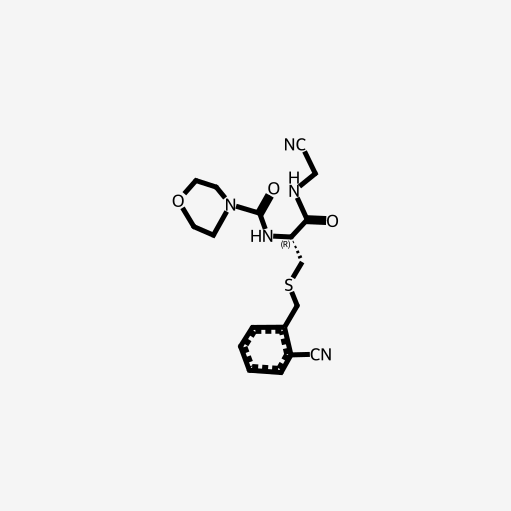 N#CCNC(=O)[C@H](CSCc1ccccc1C#N)NC(=O)N1CCOCC1